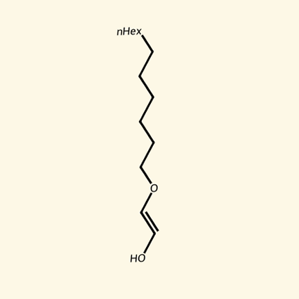 CCCCCCCCCCCCOC=CO